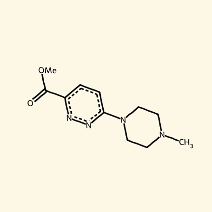 COC(=O)c1ccc(N2CCN(C)CC2)nn1